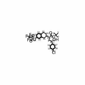 CC(C)(C)OC(=O)N(C[C@@H](O)c1ccc(Cl)cc1)[C@H]1CCc2ccc(OS(=O)(=O)C(F)(F)F)cc2C1